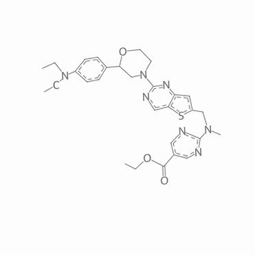 CCOC(=O)c1cnc(N(C)Cc2cc3nc(N4CCOC(c5ccc(N(CC)CC)cc5)C4)ncc3s2)nc1